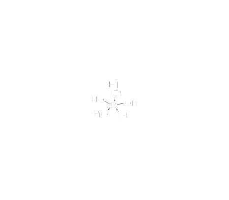 CCP(O)(O)(O)O.I